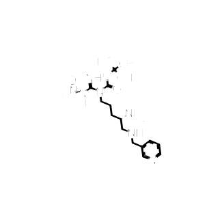 CC(C)(C)OC(=O)N(CCC[C@H](N)CNCc1cccnc1)C(=N)N[N+](=O)[O-]